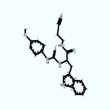 COc1ccc(NC(=S)NC(Cc2c[nH]c3ccccc23)C(=O)NCCC#N)cc1